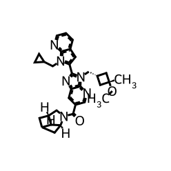 CO[C@]1(C)C[C@H](Cn2c(-c3cc4cccnc4n3CC3CC3)nc3cc(C(=O)N4C[C@H]5CC6C[C@@H]4[C@H]65)cnc32)C1